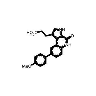 COc1ccc(-c2ccc3[nH]c(=O)c4[nH]cc(CCC(=O)O)c4c3c2)cc1